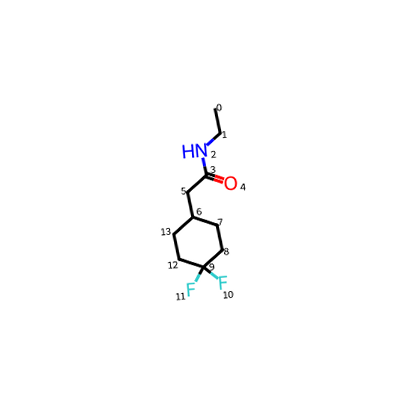 CCNC(=O)CC1CCC(F)(F)CC1